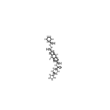 Cc1c2nc(NCCNc3ccccc3)sc2cc2sc(NCC(=O)N3CCN(C4CCCC4)CC3)nc12